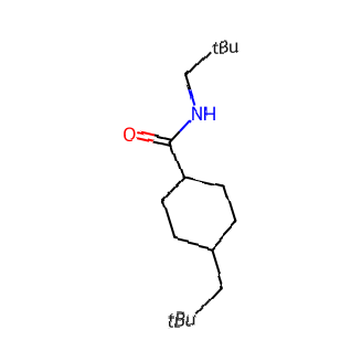 CC(C)(C)CNC(=O)C1CCC(CC(C)(C)C)CC1